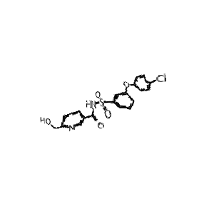 O=C(NS(=O)(=O)c1cccc(Oc2ccc(Cl)cc2)c1)c1ccc(CO)nc1